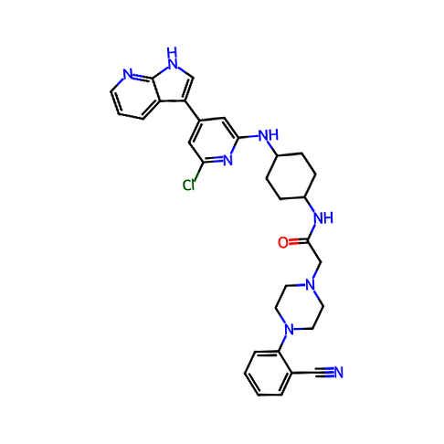 N#Cc1ccccc1N1CCN(CC(=O)NC2CCC(Nc3cc(-c4c[nH]c5ncccc45)cc(Cl)n3)CC2)CC1